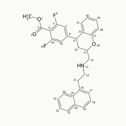 COC(=O)c1c(F)cc(C2CC(CNCCc3cccc4ccccc34)Oc3ccccc32)cc1F